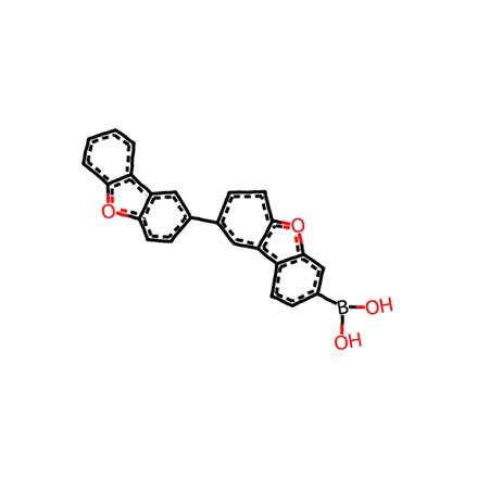 OB(O)c1ccc2c(c1)oc1ccc(-c3ccc4oc5ccccc5c4c3)cc12